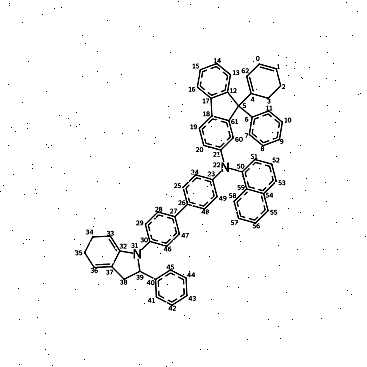 C1=CCCC(C2(c3ccccc3)c3ccccc3-c3ccc(N(c4ccc(-c5ccc(N6C7=CCCC=C7CC6c6ccccc6)cc5)cc4)c4cccc5ccccc45)cc32)=C1